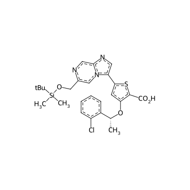 C[C@@H](Oc1cc(-c2cnc3cnc(CO[Si](C)(C)C(C)(C)C)cn23)sc1C(=O)O)c1ccccc1Cl